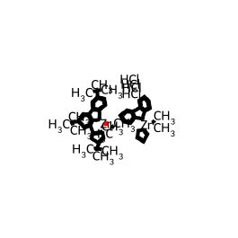 C[C](C)=[Zr]([C]1=CC=CC1)[CH]1c2ccccc2-c2ccccc21.C[C](C)=[Zr][CH]1c2ccc(C(C)(C)C)cc2-c2cc(C(C)(C)C)cc(C3=C(C)C=C(C(C)(C)C)C3)c21.Cl.Cl.Cl.Cl